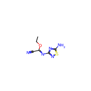 CCOC(C#N)=Nc1nsc(N)n1